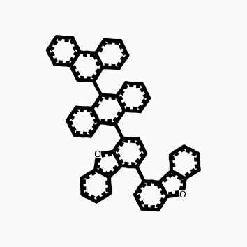 c1ccc2c(c1)cc(-c1c3ccccc3c(-c3ccc(-c4cccc5oc6ccccc6c45)c4c3oc3ccccc34)c3ccccc13)c1ccccc12